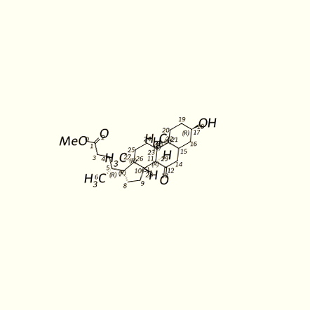 COC(=O)CC[C@@H](C)[C@H]1CC[C@H]2[C@@H]3C(=O)CC4C[C@H](O)CC[C@]4(C)[C@H]3CC[C@]12C